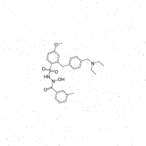 CCN(CC)Cc1ccc(Cc2cc(OC)ccc2S(=O)(=O)NN(O)C(=O)c2cccc(C)c2)cc1